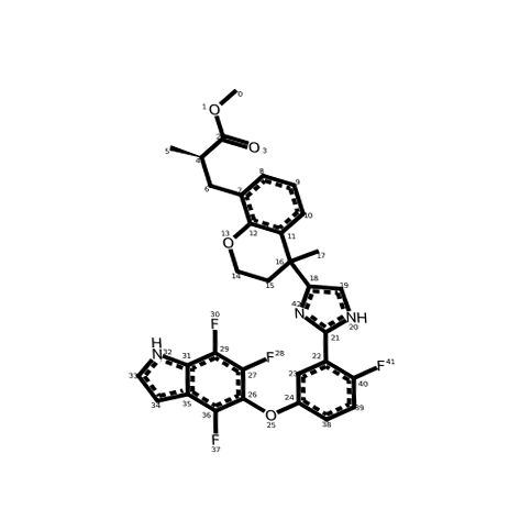 COC(=O)[C@H](C)Cc1cccc2c1OCCC2(C)c1c[nH]c(-c2cc(Oc3c(F)c(F)c4[nH]ccc4c3F)ccc2F)n1